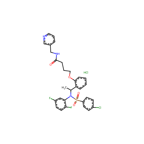 CC(c1ccccc1OCCCC(=O)NCc1cccnc1)N(c1cc(F)ccc1F)S(=O)(=O)c1ccc(Cl)cc1.Cl